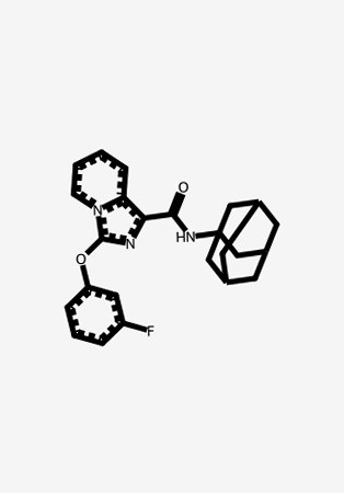 O=C(NC12CC3CC(CC(C3)C1)C2)c1nc(Oc2cccc(F)c2)n2ccccc12